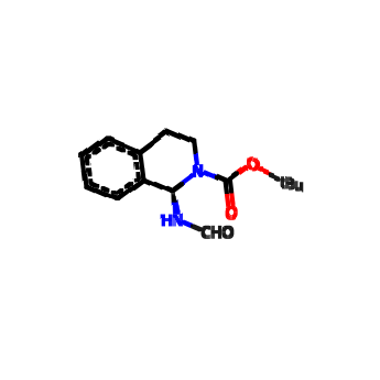 CC(C)(C)OC(=O)N1CCc2ccccc2[C@@H]1NC=O